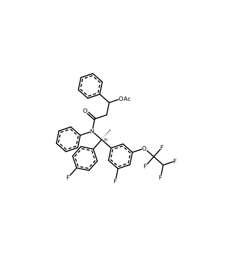 CC(=O)OC(CC(=O)N(c1ccccc1)[C@](C)(c1ccc(F)cc1)c1cc(F)cc(OC(F)(F)C(F)F)c1)c1ccccc1